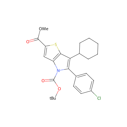 COC(=O)c1cc2c(s1)c(C1CCCCC1)c(-c1ccc(Cl)cc1)n2C(=O)OC(C)(C)C